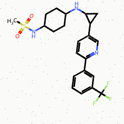 CS(=O)(=O)NC1CCC(NC2CC2c2ccc(-c3cccc(C(F)(F)F)c3)nc2)CC1